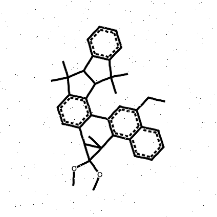 CCc1cc2c(c3ccccc13)C1(C)C(c3ccc4c(c3-2)C2C(c3ccccc3C2(C)C)C4(C)C)C1(OC)OC